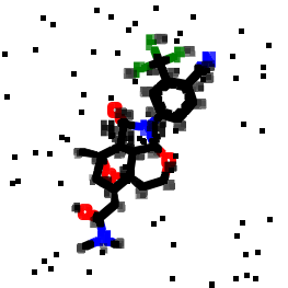 CN(C)C(=O)C[C@H]1C[C@@]2(C)O[C@@]13CCO[C@H]1[C@@H]3[C@@H]2C(=O)N1c1ccc(C#N)c(C(F)(F)F)c1